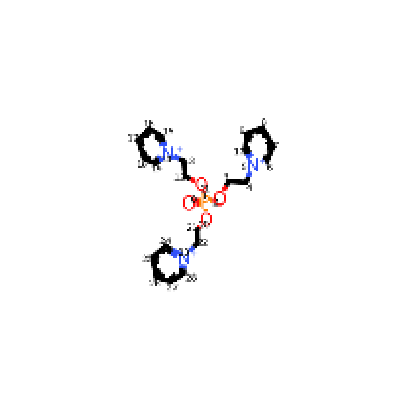 O=P(OCC[n+]1ccccc1)(OCC[n+]1ccccc1)OCC[n+]1ccccc1